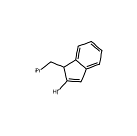 CC(C)CC1[C]([Hf])=Cc2ccccc21